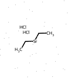 CC[Si]CC.Cl.Cl